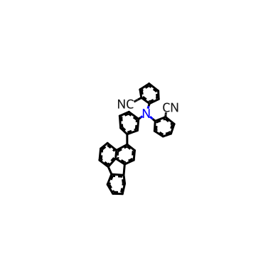 N#Cc1ccccc1N(c1cccc(-c2ccc3c4c(cccc24)-c2ccccc2-3)c1)c1ccccc1C#N